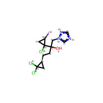 OC(CC[C@H]1CC1(Cl)Cl)(Cn1cncn1)C1(Cl)CC1I